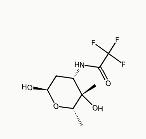 C[C@@H]1O[C@@H](O)C[C@H](NC(=O)C(F)(F)F)[C@]1(C)O